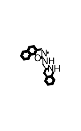 CN(Cc1ccc2ccccc2c1)C(=O)NC[C@@H]1Cc2ccccc2CN1